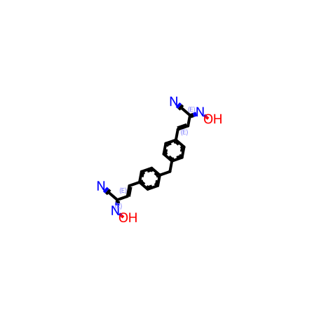 N#CC(/C=C/c1ccc(Cc2ccc(/C=C/C(C#N)=N\O)cc2)cc1)=N/O